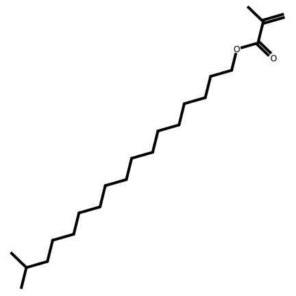 C=C(C)C(=O)OCCCCCCCCCCCCCCCC(C)C